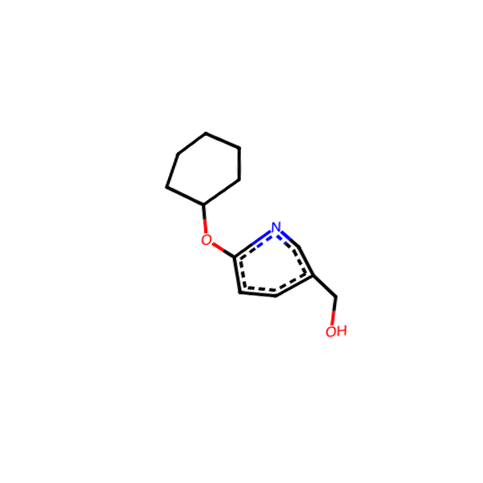 OCc1ccc(OC2CCCCC2)nc1